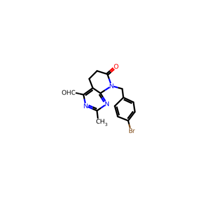 Cc1nc(C=O)c2c(n1)N(Cc1ccc(Br)cc1)C(=O)CC2